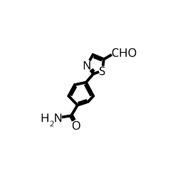 NC(=O)c1ccc(-c2ncc(C=O)s2)cc1